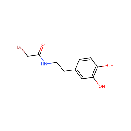 O=C(CBr)NCCc1ccc(O)c(O)c1